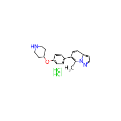 Cc1c(-c2ccc(OC3CCNCC3)cc2)ccc2ccnn12.Cl.Cl